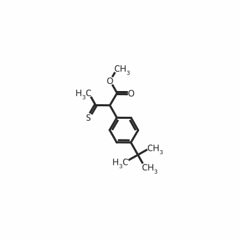 COC(=O)C(C(C)=S)c1ccc(C(C)(C)C)cc1